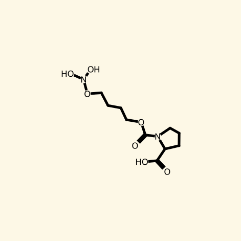 O=C(O)C1CCCN1C(=O)OCCCCON(O)O